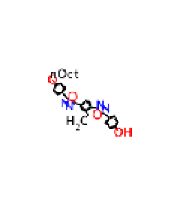 C=Cc1cc(-c2nnc(-c3ccc(OCCCCCCCC)cc3)o2)ccc1-c1nnc(-c2ccc(O)cc2)o1